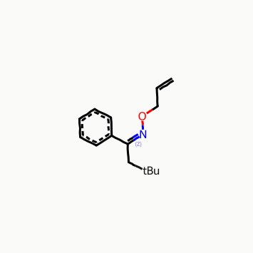 C=CCO/N=C(/CC(C)(C)C)c1ccccc1